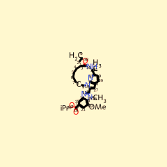 C=CC[C@H]1CCCCCCn2c(-c3nc4cc(C(=O)OC(C)C)cc(OC)c4n3C)cc3ccc(nc32)[C@@H](C)NC1=O